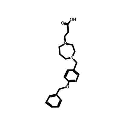 O=C(O)CCN1CCCN(Cc2ccc(OCc3ccccc3)cc2)CC1